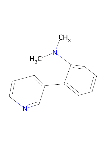 CN(C)c1ccccc1-c1cccnc1